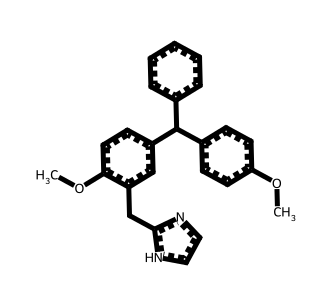 COc1ccc(C(c2ccccc2)c2ccc(OC)c(Cc3ncc[nH]3)c2)cc1